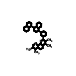 Cc1cnc2c(ccc3c(C)c(C)c(-c4cccc(-c5ccc(-c6cccc7ccccc67)c6ccccc56)c4)nc32)c1C